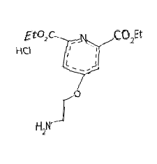 CCOC(=O)c1cc(OCCN)cc(C(=O)OCC)n1.Cl